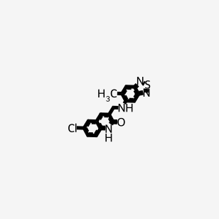 Cc1cc2nsnc2cc1NCc1cc2cc(Cl)ccc2[nH]c1=O